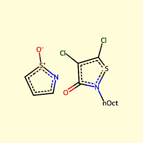 CCCCCCCCn1sc(Cl)c(Cl)c1=O.[O-][s+]1cccn1